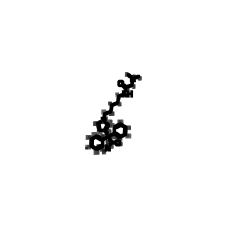 CN(C)CC(=O)NCCCCCn1ccc(C(C(N)=O)(c2ccccc2)c2ccccc2)c1